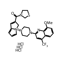 COc1cccc2c(C(F)(F)F)cc(N3CCN([N@@+]45C=CC=C4C=C(C(=O)N4CCSC4)C5)CC3)nc12.Cl.Cl.Cl